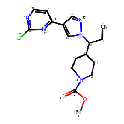 CC(C)(C)OC(=O)N1CCC(C(CC#N)n2cc(-c3ccnc(Cl)n3)cn2)CC1